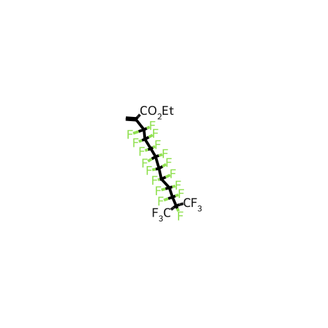 C=C(C(=O)OCC)C(F)(F)C(F)(F)C(F)(F)C(F)(F)C(F)(F)C(F)(F)C(F)(F)C(F)(F)C(F)(C(F)(F)F)C(F)(F)F